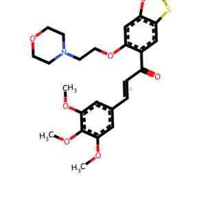 COc1cc(/C=C/C(=O)c2cc3c(cc2OCCN2CCOCC2)OCS3)cc(OC)c1OC